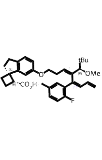 C=C/C=C(\C(=C/CCOc1ccc2c(c1)[C@]1(CC2)CC[C@H]1C(=O)O)[C@H](OC)C(C)(C)C)c1cc(C)ccc1F